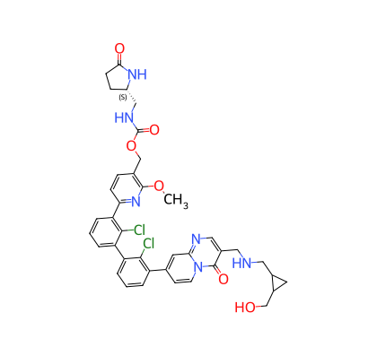 COc1nc(-c2cccc(-c3cccc(-c4ccn5c(=O)c(CNCC6CC6CO)cnc5c4)c3Cl)c2Cl)ccc1COC(=O)NC[C@@H]1CCC(=O)N1